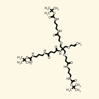 C=CCOCC(COCCC(=O)NCCCNC(=O)OC(C)(C)C)(COCCC(=O)NCCCNC(=O)OC(C)(C)C)NC(=O)CCC(=O)NCCCNC(=O)OC(C)(C)C